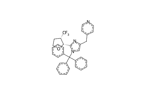 FC(F)(F)[C@H]1CCO[C@H]1c1nc(Cc2ccncc2)cn1C(c1ccccc1)(c1ccccc1)c1ccccc1